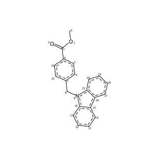 COC(=O)c1ccc(Cn2c3ccccc3c3ccccc32)cc1